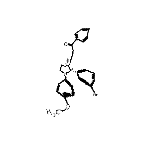 COc1ccc(N2CC[C@@H](CC(=O)c3ccccc3)[C@@H]2c2cccc(Br)c2)cc1